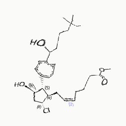 COC(=O)CCC/C=C\C[C@@H]1[C@@H](c2ccc(C(O)CCCC(C)(C)C)cc2)[C@H](O)C[C@H]1Cl